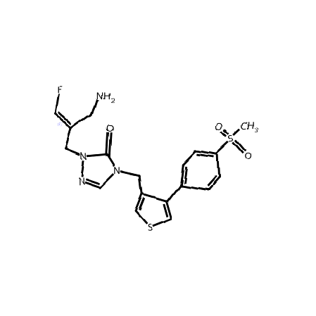 CS(=O)(=O)c1ccc(-c2cscc2Cn2cnn(C/C(=C/F)CN)c2=O)cc1